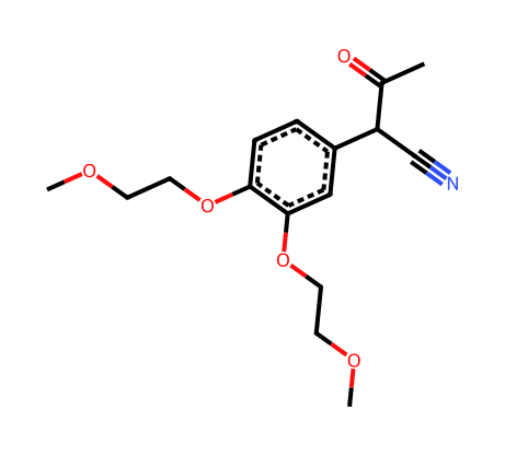 COCCOc1ccc(C(C#N)C(C)=O)cc1OCCOC